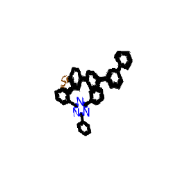 c1ccc(-c2cccc(-c3ccc(-c4ccc5sc6cccc(-c7nc(-c8ccccc8)nc(-c8ccccc8)n7)c6c5c4)cc3)c2)cc1